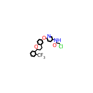 O=C(CCl)Nc1ccc(Oc2ccc3c(c2)CCC(c2ccccc2C(F)(F)F)O3)nc1